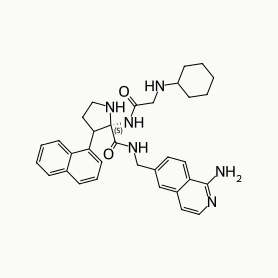 Nc1nccc2cc(CNC(=O)[C@]3(NC(=O)CNC4CCCCC4)NCCC3c3cccc4ccccc34)ccc12